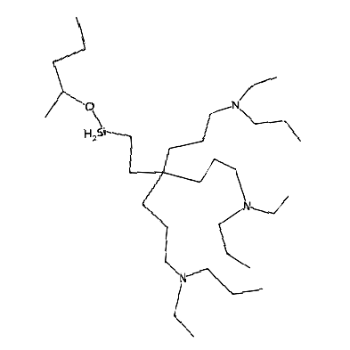 CCCC(C)O[SiH2]CCC(CCCN(CC)CCC)(CCCN(CC)CCC)CCCN(CC)CCC